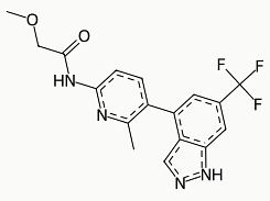 COCC(=O)Nc1ccc(-c2cc(C(F)(F)F)cc3[nH]ncc23)c(C)n1